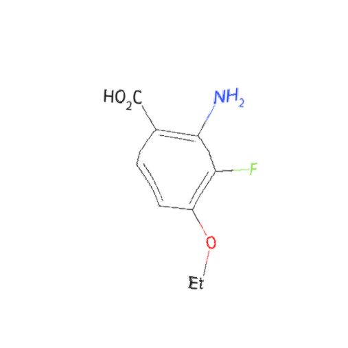 CCOc1ccc(C(=O)O)c(N)c1F